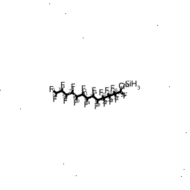 FC(F)C(F)C(F)C(F)C(F)C(F)C(F)C(F)C(F)C(F)(F)C(F)(F)C(F)(F)C(F)O[SiH3]